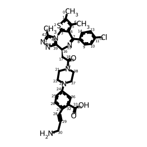 Cc1sc2c(c1C)C(c1ccc(Cl)cc1)=N[C@@H](CC(=O)N1CCN(c3ccc(C#CCN)c(C(=O)O)c3)CC1)c1nnc(C)n1-2